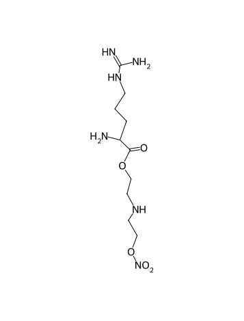 N=C(N)NCCCC(N)C(=O)OCCNCCO[N+](=O)[O-]